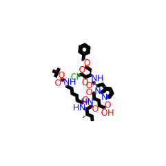 CC[C@H](C)C(NC(=O)CCCCCNC(=O)OC(C)(C)C)C(=O)NC(CCC(=O)O)C(=O)N1c2ncccc2C[C@H]1C(=O)N[C@H](CC(=O)OCc1ccccc1)C(=O)CCl